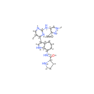 COc1nn(C)cc1Nc1ncc(C)c(-c2c[nH]c3c(NC(=O)C4CCCN4)cccc23)n1